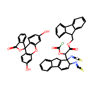 O=C(Cl)OC(C(=O)OCC1c2ccccc2-c2ccccc21)C1(N=C=S)C2=C(C=CC1N=C=S)c1ccccc1C2.O=C1OC2(c3ccc(O)cc3Oc3cc(O)ccc32)c2ccccc21